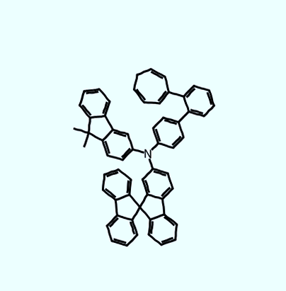 CC1(C)c2ccccc2-c2cc(N(c3ccc(-c4ccccc4C4=CC=CCC=C4)cc3)c3ccc4c(c3)C3(c5ccccc5-c5ccccc53)c3ccccc3-4)ccc21